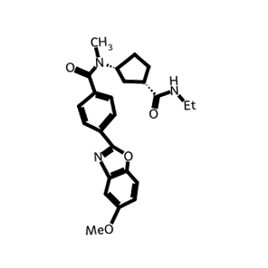 CCNC(=O)[C@H]1CC[C@@H](N(C)C(=O)c2ccc(-c3nc4cc(OC)ccc4o3)cc2)C1